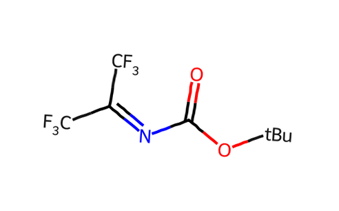 CC(C)(C)OC(=O)N=C(C(F)(F)F)C(F)(F)F